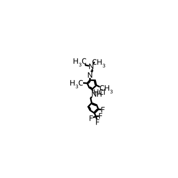 CCN(C)C=Nc1cc(C)c(NCc2ccc(C(F)(F)F)c(F)c2)cc1C.Cl